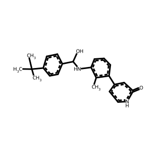 Cc1c(NC(O)c2ccc(C(C)(C)C)cc2)cccc1-c1cc[nH]c(=O)c1